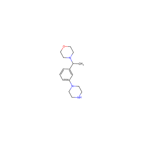 CC(c1cccc(N2CCNCC2)c1)N1CCOCC1